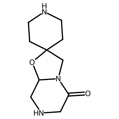 O=C1CNCC2OC3(CCNCC3)CN12